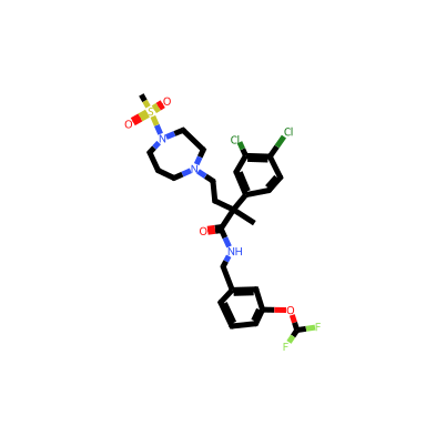 CC(CCN1CCCN(S(C)(=O)=O)CC1)(C(=O)NCc1cccc(OC(F)F)c1)c1ccc(Cl)c(Cl)c1